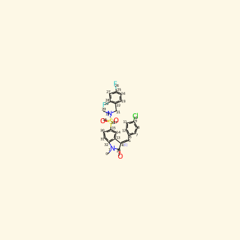 CN1C(=O)/C(=C/c2ccc(Cl)cc2)c2cc(S(=O)(=O)N(C)Cc3ccc(F)cc3F)ccc21